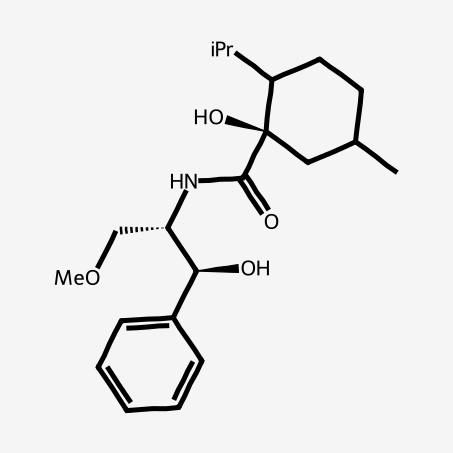 COC[C@H](NC(=O)[C@@]1(O)CC(C)CCC1C(C)C)[C@@H](O)c1ccccc1